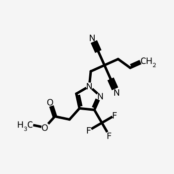 C=CCC(C#N)(C#N)Cn1cc(CC(=O)OC)c(C(F)(F)F)n1